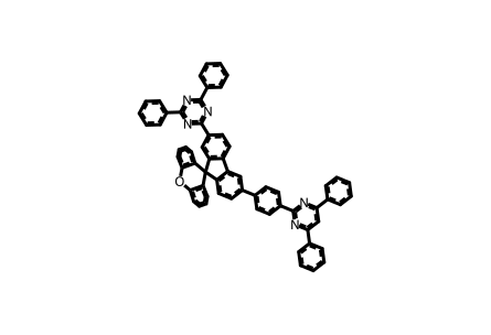 c1ccc(-c2cc(-c3ccccc3)nc(-c3ccc(-c4ccc5c(c4)-c4ccc(-c6nc(-c7ccccc7)nc(-c7ccccc7)n6)cc4C54c5ccccc5Oc5ccccc54)cc3)n2)cc1